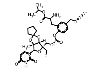 CC(C)OC(=O)[C@@H](N)Cc1cc(CN=[N+]=[N-])ccc1O[PH](=O)OC[C@@]1(CF)O[C@@H](n2ccc(=O)[nH]c2=O)[C@]2(C)OC3(CCCC3)O[C@H]12